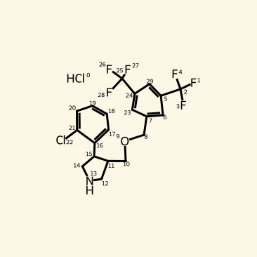 Cl.FC(F)(F)c1cc(COCC2CNCC2c2ccccc2Cl)cc(C(F)(F)F)c1